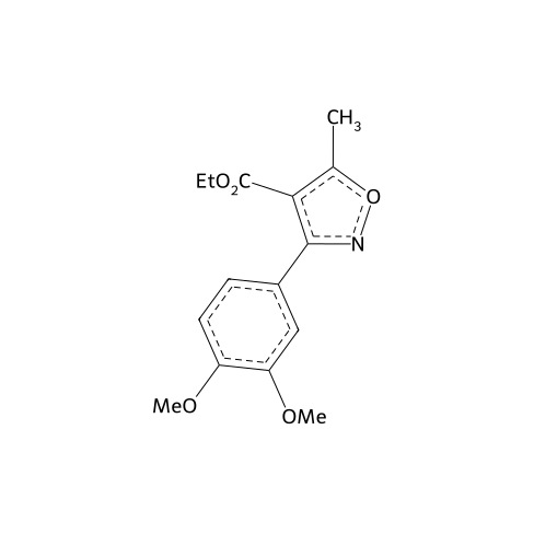 CCOC(=O)c1c(-c2ccc(OC)c(OC)c2)noc1C